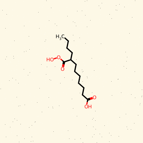 CCCCC(CCCCCCC(=O)O)C(=O)OO